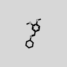 COc1ccc(/C=N/C2CCCCC2)cc1OC